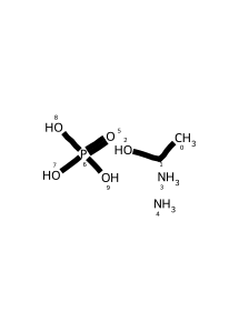 CCO.N.N.O=P(O)(O)O